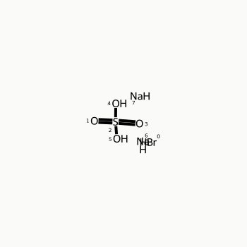 Br.O=S(=O)(O)O.[NaH].[NaH]